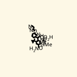 COc1c(C(N)=O)cc(C2(C)CC2)c(-c2c(C(=O)O)n(C)c3c(Oc4ccncn4)cccc23)c1NS(C)(=O)=O